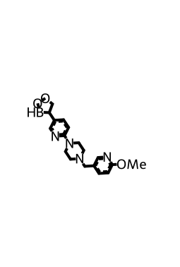 COc1ccc(CN2CCN(c3ccc(C4BOOC4)cn3)CC2)cn1